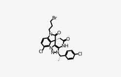 C[C@@H](c1ccc(Cl)cc1)n1nnc2c1NC(=O)C[C@]21C(=O)N(CCCBr)c2ccc(Cl)cc21